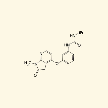 CC(C)NC(=O)Nc1cccc(Oc2ccnc3c2CC(=O)N3C)c1